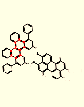 O=C(O)c1ccc2c3c(Br)cc(C(=O)Nc4cc(-c5ccccc5)c(-c5ccccc5)c(-c5ccccc5)c4)c4c(C(=O)Nc5cc(-c6ccccc6)c(-c6ccccc6)c(-c6ccccc6)c5)ccc(c5c(Br)cc(C(=O)O)c1c25)c43